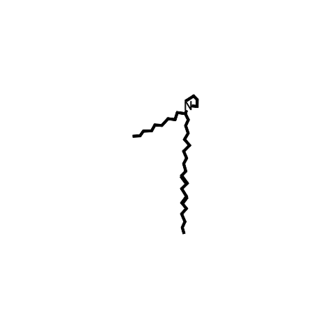 CCCCCC=CCC=CCCCCCCCCCC(CCCCCCCCC)N1CCCC1